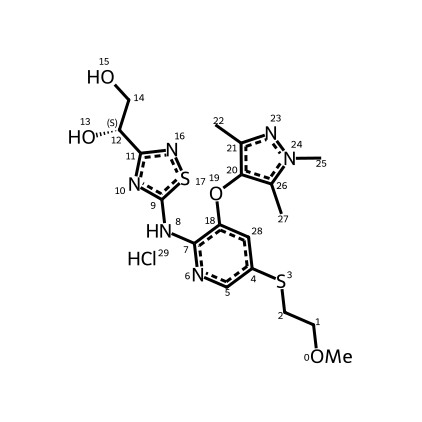 COCCSc1cnc(Nc2nc([C@H](O)CO)ns2)c(Oc2c(C)nn(C)c2C)c1.Cl